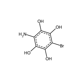 Nc1c(O)c(O)c(Br)c(O)c1O